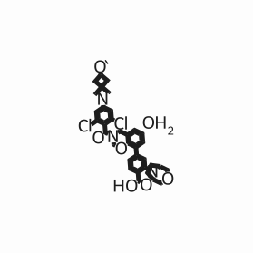 COC1CC2(C1)CN(c1cc(Cl)c(C(=O)N3COc4c(cccc4-c4ccc(C(=O)O)c(N5C6CCC5COC6)c4)C3)c(Cl)c1)C2.O